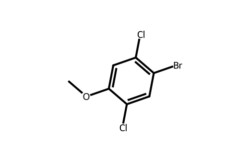 COc1cc(Cl)c(Br)cc1Cl